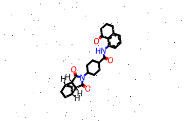 O=C1CCCc2cccc(NC(=O)C3CCC(N4C(=O)[C@@H]5[C@@H]6CC[C@@H](C6)[C@@H]5C4=O)CC3)c21